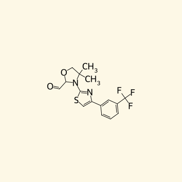 CC1(C)COC(C=O)N1c1nc(-c2cccc(C(F)(F)F)c2)cs1